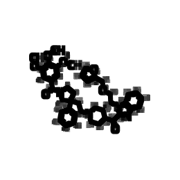 COc1cc(C(=O)N2CCC(CCN3CCC(C(=O)c4nc5ccccc5n4CCOCc4ccco4)CC3)(c3ccccc3)C2)cc(OC)c1OC